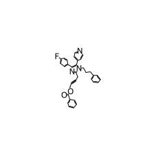 O=C(OCC#CCc1nc(-c2ccc(F)cc2)c(-c2ccncc2)n1CCCc1ccccc1)c1ccccc1